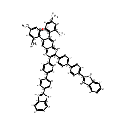 Cc1cc(C)c(-c2cc3nc(-c4ccc(-c5ccc(-c6nc7ccccc7o6)cc5)cc4)c(-c4ccc(-c5ccc(-c6nc7ccccc7o6)cc5)cc4)nc3cc2-c2c(C)cc(C)cc2C)c(C)c1